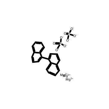 O=P([O-])([O-])[O-].O=P([O-])([O-])[O-].[Mg+2].[Mg+2].[Mg+2].c1ccc2c(-c3cccc4ccccc34)cccc2c1